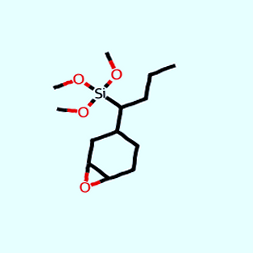 CCCC(C1CCC2OC2C1)[Si](OC)(OC)OC